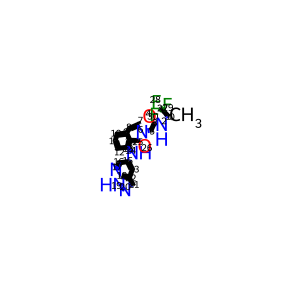 C[C@H](NC(=O)Cn1ccc2cccc(Nc3cnc4[nH]ncc4c3)c2c1=O)C(F)(F)F